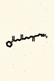 NCCCNCCCCNCCCNN1CCCCC1